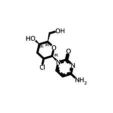 Nc1ccn([C@@H]2O[C@H](CO)[C@H](O)CC2Cl)c(=O)n1